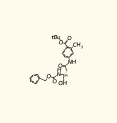 Cc1cc(NC(=O)C[C@H](CO)NC(=O)OCc2ccccc2)ccc1C(=O)OC(C)(C)C